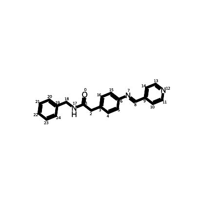 O=C(Cc1ccc(N=Cc2ccncc2)cc1)NCc1ccccc1